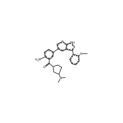 COc1ccccc1-c1n[nH]c2ncc(-c3ccc(N)c(C(=O)N4CCC(N(C)C)C4)c3)cc12